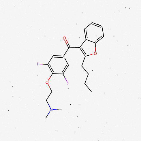 CCCCc1oc2ccccc2c1C(=O)c1cc(I)c(OCCN(C)C)c(I)c1